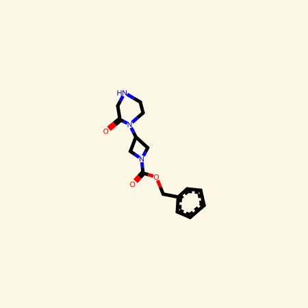 O=C(OCc1ccccc1)N1CC(N2CCNCC2=O)C1